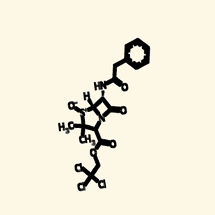 CC1(C)C(C(=O)OCC(Cl)(Cl)Cl)N2C(=O)[C@@H](NC(=O)Cc3ccccc3)[C@H]2[S+]1[O-]